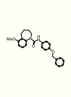 COc1cccc2c1CCCCN2C(=O)Nc1ccc(OCc2ccccc2)cc1